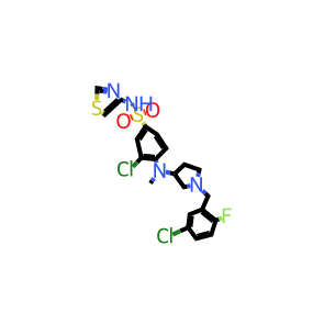 CN(c1ccc(S(=O)(=O)Nc2cscn2)cc1Cl)C1CCN(Cc2cc(Cl)ccc2F)C1